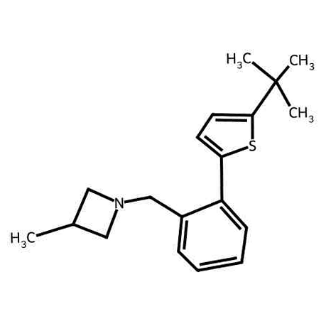 CC1CN(Cc2ccccc2-c2ccc(C(C)(C)C)s2)C1